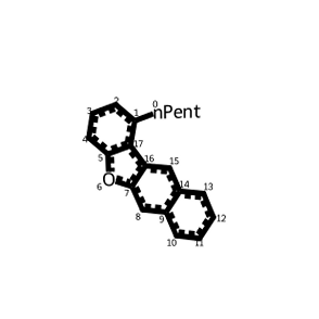 CCCCCc1cccc2oc3cc4ccccc4cc3c12